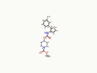 CC(C)(C)OC(=O)N1CCC(OC(=O)Nc2ccsc2-c2cccc(F)c2)CC1